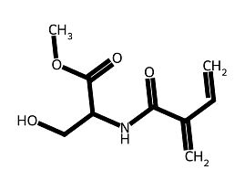 C=CC(=C)C(=O)NC(CO)C(=O)OC